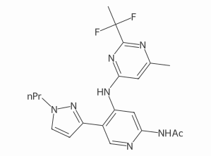 CCCn1ccc(-c2cnc(NC(C)=O)cc2Nc2cc(C)nc(C(C)(F)F)n2)n1